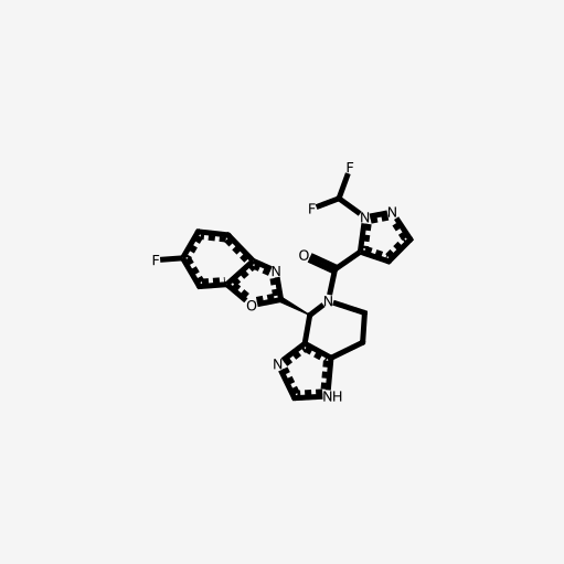 O=C(c1ccnn1C(F)F)N1CCc2[nH]cnc2[C@H]1c1nc2ccc(F)cc2o1